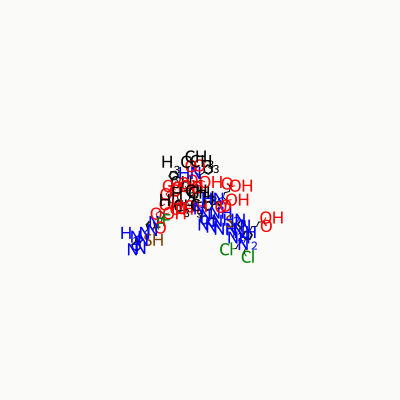 CC(=O)O[C@@]12CO[C@@H]1C[C@H](O)[C@@]1(C)C(=O)[C@H](O)C3=C(C)[C@@H](OC(=O)[C@H](O)[C@@H](NC(=O)OC(C)(C)C)c4ccccc4)C[C@@](O)([C@@H](OC(=O)c4ccccc4)[C@H]21)C3(C)C.CN(Cc1cnc2nc(N)nc(N)c2n1)c1ccc(C(=O)N[C@@H](CCC(=O)O)C(=O)O)cc1.Nc1ccn([C@@H]2O[C@H](CO)[C@@H](O)C2(F)F)c(=O)n1.Nc1nc(=S)c2[nH]cnc2[nH]1.O=C(O)CCCc1ccc(N(CCCl)CCCl)cc1.Sn1cnc2cncnc21